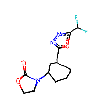 O=C1OCCN1[C]1CCCC(c2nnc(C(F)F)o2)C1